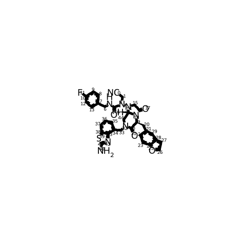 N#CCN(C(=O)NCc1ccc(F)cc1)N1CC(=O)N2[C@@H](Cc3ccc4occc4c3)C(=O)N(Cc3cccc4sc(N)nc34)C[C@@H]21